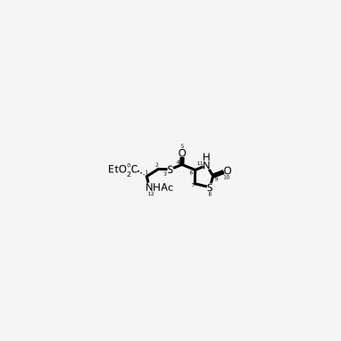 CCOC(=O)[C@H](CSC(=O)C1CSC(=O)N1)NC(C)=O